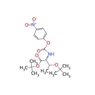 CC(OC(C)(C)C)[C@H](NC(=O)Oc1ccc([N+](=O)[O-])cc1)C(=O)OC(C)(C)C